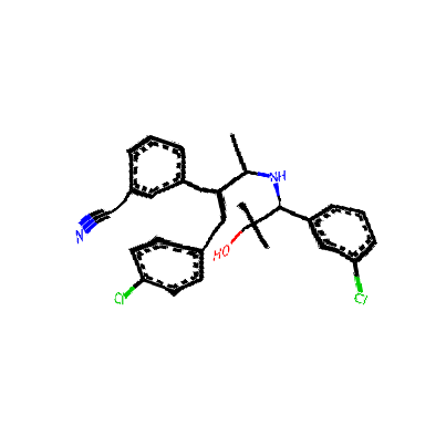 CC(N[C@@H](c1cccc(Cl)c1)C(C)(C)O)C(Cc1ccc(Cl)cc1)c1cccc(C#N)c1